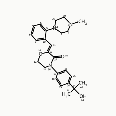 CN1CCN(c2ccccc2C=C2OCCN(c3ccc(C(C)(C)O)cc3)C2=O)CC1